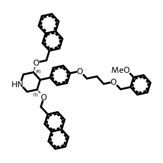 COc1ccccc1COCCCOc1ccc(C2[C@@H](OCc3ccc4ccccc4c3)CNC[C@H]2OCc2ccc3ccccc3c2)cc1